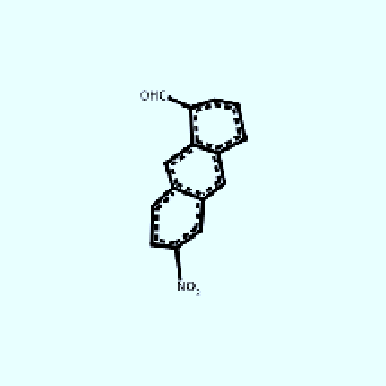 O=Cc1cccc2cc3cc([N+](=O)[O-])ccc3cc12